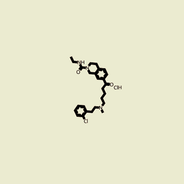 CCNC(=O)N1CCc2ccc(C(=O)CCCCN(C)CCc3ccccc3Cl)cc2C1.Cl